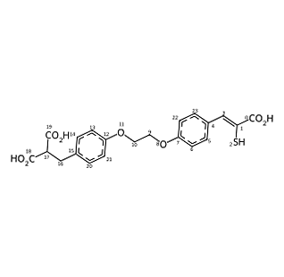 O=C(O)C(S)=Cc1ccc(OCCOc2ccc(CC(C(=O)O)C(=O)O)cc2)cc1